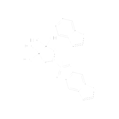 CC1(C)OB([SH](=O)=O)OC1(C)C.c1ccc2sccc2c1.c1ccc2sccc2c1